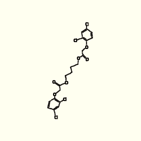 O=C(COc1ccc(Cl)cc1Cl)OCCCCOC(=O)COc1ccc(Cl)cc1Cl